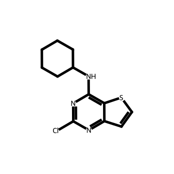 Clc1nc(NC2CCCCC2)c2sccc2n1